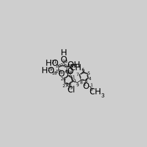 CCOc1ccccc1Cc1cc([C@]2(OC)O[C@H](CO)[C@@H](O)[C@H](O)[C@H]2O)ccc1Cl